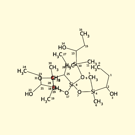 CCC(O)[Si](C)(C)O[Si](O[Si](C)(C)C(O)CC)(O[Si](C)(C)C(O)CC)C(CC)[Si](C)(C)[O]